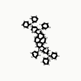 c1ccc(N(c2ccccc2)c2cnc3c4c5ccc6cc7c(c8ccc(cc4n(-c4ccccc4)c3c2)c5c68)c2ncc(N(c3ccccc3)c3ccccc3)cc2n7-c2ccccc2)cc1